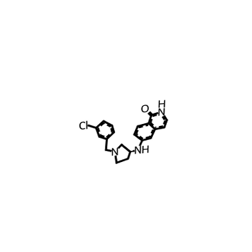 O=c1[nH]ccc2cc(N[C@H]3CCN(Cc4cccc(Cl)c4)C3)ccc12